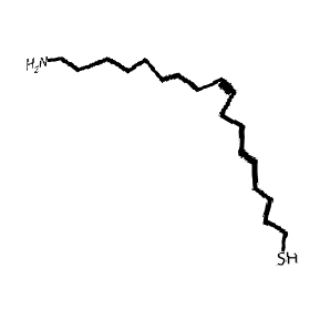 NCCCCCCCC/C=C\CCCCCCCCS